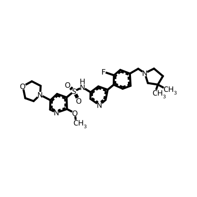 COc1ncc(N2CCOCC2)cc1S(=O)(=O)Nc1cncc(-c2ccc(CN3CCC(C)(C)C3)cc2F)c1